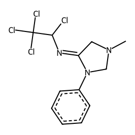 CN1CC(=NC(Cl)C(Cl)(Cl)Cl)N(c2ccccc2)C1